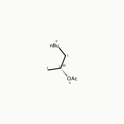 CCCCC[C@@H](C)OC(C)=O